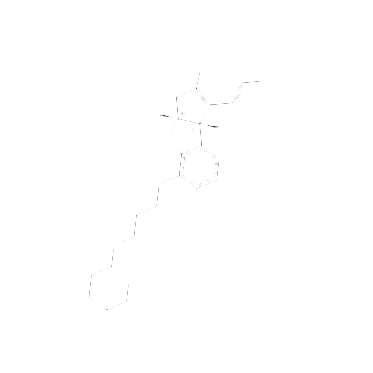 O=CC=CC1=C(O)C[C@H]2Oc3c(CCCCOC4CCCCO4)cccc3[C@@H]12